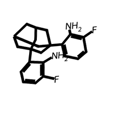 Nc1c(F)cccc1C12CC3CC(C1)CC(c1cccc(F)c1N)(C3)C2